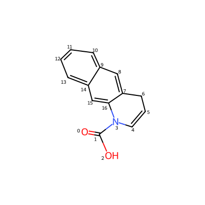 O=C(O)N1C=CCc2cc3ccccc3cc21